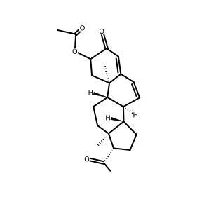 CC(=O)OC1C[C@@]2(C)C(=CC1=O)C=C[C@H]1[C@@H]3CC[C@H](C(C)=O)[C@@]3(C)CC[C@@H]12